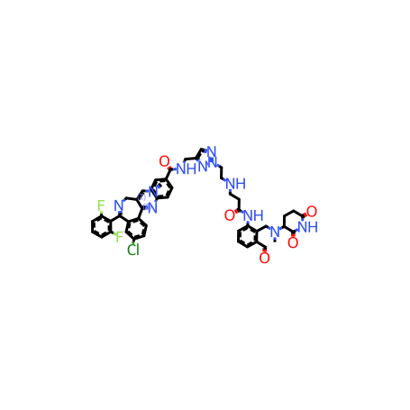 C=N/C=C1/CN=C(c2c(F)cccc2F)c2cc(Cl)ccc2/C1=N/c1ccc(C(=O)NCc2cnn(CCNCCC(=O)Nc3cccc(C=O)c3CN(C)C3CCC(=O)NC3=O)n2)cc1